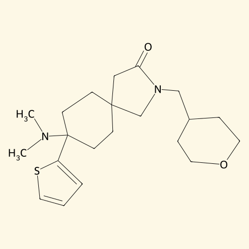 CN(C)C1(c2cccs2)CCC2(CC1)CC(=O)N(CC1CCOCC1)C2